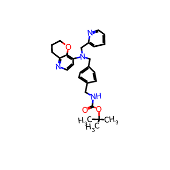 CC(C)(C)OC(=O)NCc1ccc(CN(Cc2ccccn2)c2ccnc3c2OCCC3)cc1